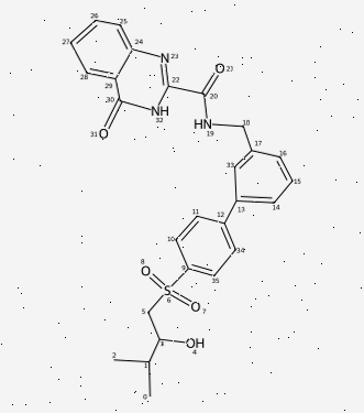 CC(C)C(O)CS(=O)(=O)c1ccc(-c2cccc(CNC(=O)c3nc4ccccc4c(=O)[nH]3)c2)cc1